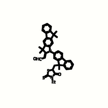 CCN1C(=O)C(CC2(C)c3ccccc3-c3ccc(N4/C(=C/C=O)C(C)(C)c5cc6c(cc54)C(C)(C)c4ccccc4-6)cc32)SC1=S